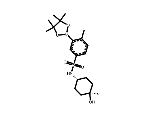 Cc1ccc(S(=O)(=O)N[C@H]2CC[C@](C)(O)CC2)cc1B1OC(C)(C)C(C)(C)O1